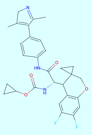 CC1=NCC(C)=C1c1ccc(NC(=O)[C@@H](NC(=O)OC2CC2)C2c3cc(F)c(F)cc3OCC23CC3)cc1